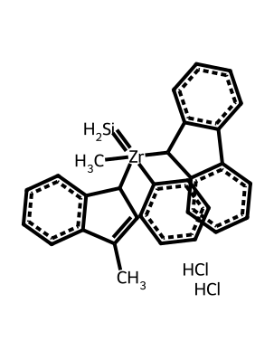 CC1=C[CH]([Zr]([CH3])(=[SiH2])([c]2ccccc2)[CH]2c3ccccc3-c3ccccc32)c2ccccc21.Cl.Cl